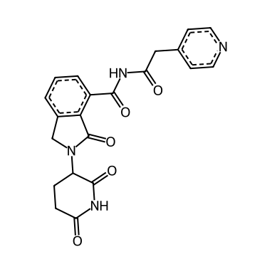 O=C(Cc1ccncc1)NC(=O)c1cccc2c1C(=O)N(C1CCC(=O)NC1=O)C2